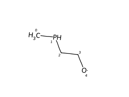 CPCC[O]